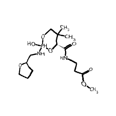 COC(=O)CCNC(=O)[C@@H]1O[PH](O)(NCC2CCCO2)OCC1(C)C